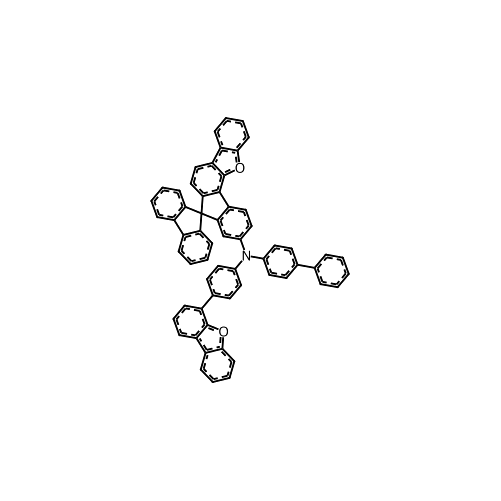 c1ccc(-c2ccc(N(c3ccc(-c4cccc5c4oc4ccccc45)cc3)c3ccc4c(c3)C3(c5ccccc5-c5ccccc53)c3ccc5c(oc6ccccc65)c3-4)cc2)cc1